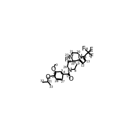 COc1cc(C(=O)N2CC[C@]3(c4ccc(C(F)(F)F)n4CCN3C)[C@@H](F)C2)ccc1OC(C)C